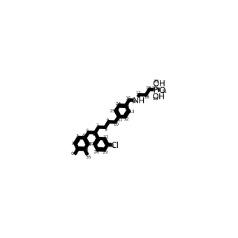 Cc1ccc(CC(CCCCc2ccc(CNCCCP(=O)(O)O)cc2)c2cccc(Cl)c2)cc1C